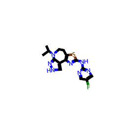 CC(C)N1CCc2sc(Nc3ncc(F)cn3)nc2-c2c[nH]nc21